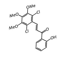 COc1c(Cl)c(C=CC(=O)c2ccccc2O)c(Cl)c(OC)c1OC